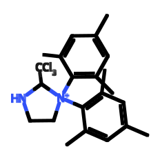 Cc1cc(C)c([N+]2(c3c(C)cc(C)cc3C)CCNC2C(Cl)(Cl)Cl)c(C)c1